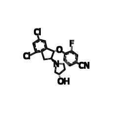 N#Cc1ccc(O[C@H]2c3cc(Cl)cc(Cl)c3C[C@@H]2N2CC[C@H](O)C2)c(F)c1